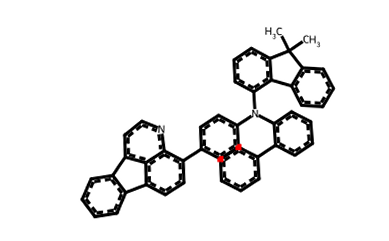 CC1(C)c2ccccc2-c2c(N(c3ccc(-c4ccc5c6c(ccnc46)-c4ccccc4-5)cc3)c3ccccc3-c3ccccc3)cccc21